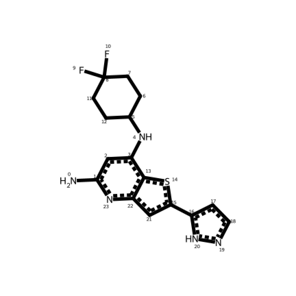 Nc1cc(NC2CCC(F)(F)CC2)c2sc(-c3ccn[nH]3)cc2n1